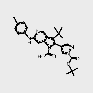 Cc1ccc(Nc2cc3c(cn2)c(C(C)(C)C)c(-c2cnn(C(=O)OC(C)(C)C)c2)n3C(=O)O)cc1